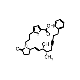 C[C@@H](CC#CCCc1ccccc1)[C@H](O)C=CC1CCC(=O)N1CCCc1ccc(C(=O)O)s1